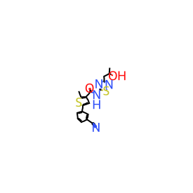 Cc1sc(-c2cccc(C#N)c2)cc1C(=O)Nc1nc(CC(C)O)ns1